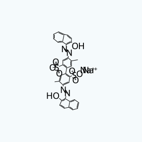 Cc1cc(-c2cc(C)c(N=Nc3c(O)ccc4ccccc34)cc2S(=O)(=O)[O-])c(S(=O)(=O)[O-])cc1N=Nc1c(O)ccc2ccccc12.[Na+].[Na+]